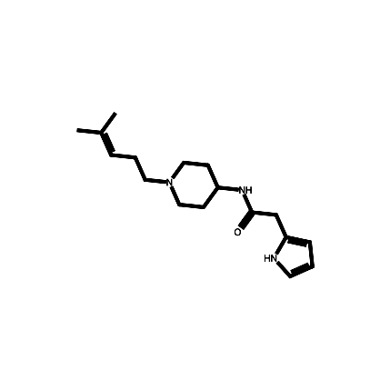 CC(C)=CCCN1CCC(NC(=O)Cc2ccc[nH]2)CC1